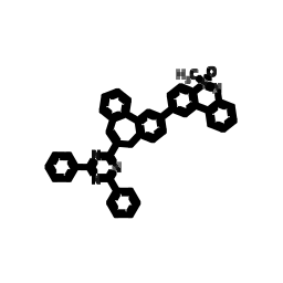 CS1(=O)=Nc2ccccc2-c2cc(-c3ccc4c(c3)-c3ccccc3C=C(c3nc(-c5ccccc5)nc(-c5ccccc5)n3)C4)ccc21